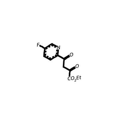 CCOC(=O)C(=O)CC(=O)c1ccc(F)cn1